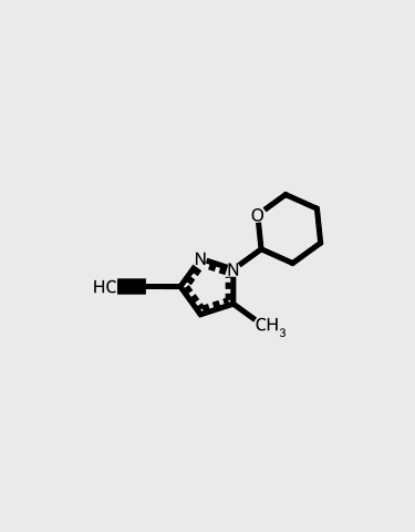 C#Cc1cc(C)n(C2CCCCO2)n1